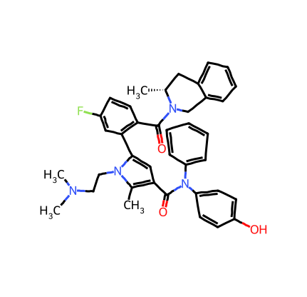 Cc1c(C(=O)N(c2ccccc2)c2ccc(O)cc2)cc(-c2cc(F)ccc2C(=O)N2Cc3ccccc3C[C@H]2C)n1CCN(C)C